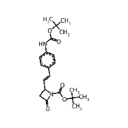 CC(C)(C)OC(=O)Nc1ccc(/C=C/C2CC(=O)N2C(=O)OC(C)(C)C)cc1